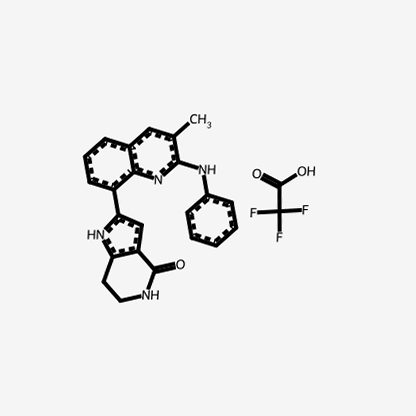 Cc1cc2cccc(-c3cc4c([nH]3)CCNC4=O)c2nc1Nc1ccccc1.O=C(O)C(F)(F)F